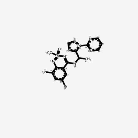 CC(NC1=NS(C)(=O)=Nc2c(Br)cc(Br)cc21)c1ncnn1-c1ncccn1